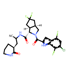 N#CC(C[C@@H]1CCCNC1=O)NC(=O)[C@@H]1[C@H]2CC(F)(F)C[C@H]2CN1C(=O)c1cc2c(F)cc(Cl)c(F)c2[nH]1